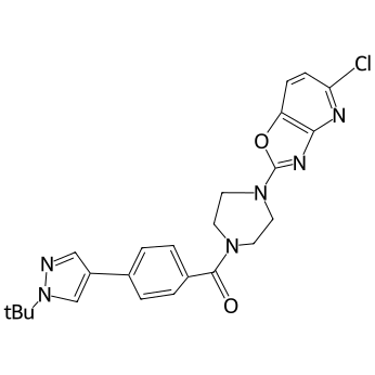 CC(C)(C)n1cc(-c2ccc(C(=O)N3CCN(c4nc5nc(Cl)ccc5o4)CC3)cc2)cn1